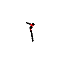 CCCCCCCCCCCCCCCCCCOC(C)c1ccc(C(=O)Oc2ccccc2OCCCCCCCC)cc1